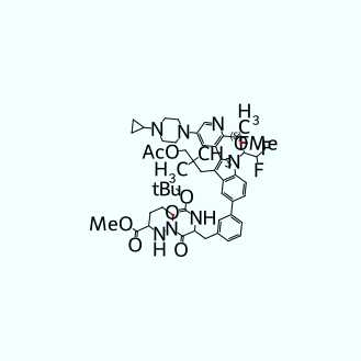 COC(=O)C1CCCN(C(=O)C(Cc2cccc(-c3ccc4c(c3)c(CC(C)(C)COC(C)=O)c(-c3cc(N5CCN(C6CC6)CC5)cnc3[C@H](C)OC)n4C(F)C(F)F)c2)NC(=O)OC(C)(C)C)N1